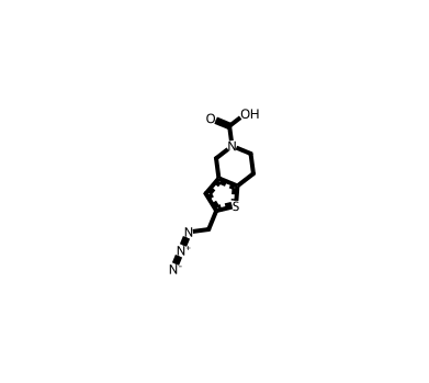 [N-]=[N+]=NCc1cc2c(s1)CCN(C(=O)O)C2